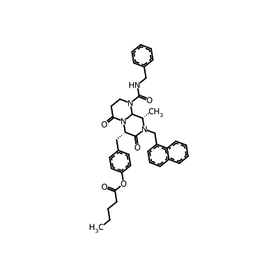 CCCCC(=O)Oc1ccc(C[C@H]2C(=O)N(Cc3cccc4ccccc34)[C@@H](C)C3N(C(=O)NCc4ccccc4)CCC(=O)N32)cc1